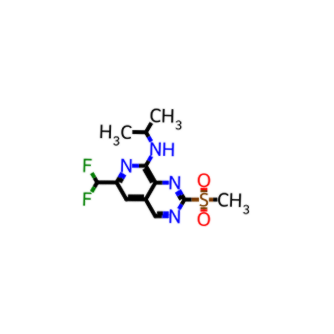 CC(C)Nc1nc(C(F)F)cc2cnc(S(C)(=O)=O)nc12